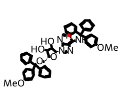 COc1ccc(C(Nc2ncnc3c2ncn3[C@@H]2O[C@H](COC(c3ccccc3)(c3ccccc3)c3ccc(OC)cc3)C(O)C2O)(c2ccccc2)c2ccccc2)cc1